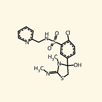 CN=C1SCC(O)(c2ccc(Cl)c(S(=O)(=O)NCc3ccccn3)c2)N1C